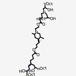 CCCCCCCCC(O)C/C=C(/CCCC(=O)OCC/C=C1\CC(C)N(CCOC(=O)CCCN(CC(O)CCCCCCCC)CC(O)CCCCCCCC)CC1C)CC(O)CCCCCCCC